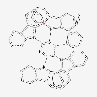 N#Cc1cccc(-c2c(-n3c4ccccc4c4ccccc43)c(-n3c4ccccc4c4ccccc43)nc(-n3c4ccccc4c4ccccc43)c2-n2c3ccccc3c3ccccc32)c1